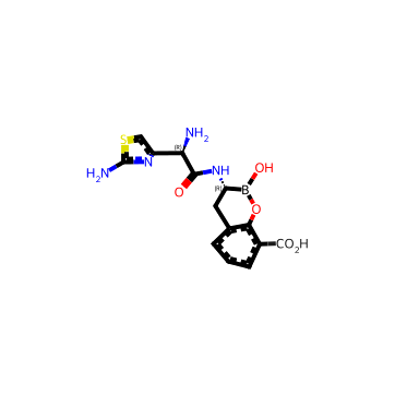 Nc1nc([C@@H](N)C(=O)N[C@H]2Cc3cccc(C(=O)O)c3OB2O)cs1